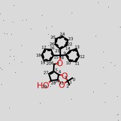 CC1(C)OC2C(COC(c3ccccc3)(c3ccccc3)c3ccccc3)=CC(O)C2O1